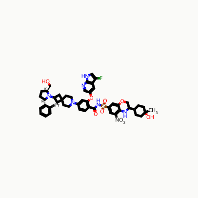 CC(C)c1ccccc1[C@@H]1CC[C@@H](CO)N1C1CC2(CCN(c3ccc(C(=O)NS(=O)(=O)c4cc5c(c([N+](=O)[O-])c4)NC(C4CCC(C)(O)CC4)CO5)c(Oc4cnc5[nH]cc(F)c5c4)c3)CC2)C1